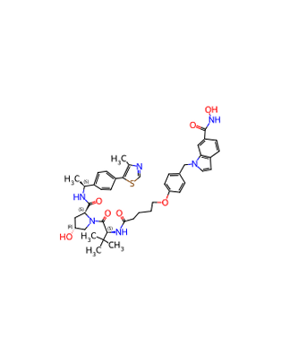 Cc1ncsc1-c1ccc([C@H](C)NC(=O)[C@@H]2C[C@@H](O)CN2C(=O)[C@@H](NC(=O)CCCCOc2ccc(Cn3ccc4ccc(C(=O)NO)cc43)cc2)C(C)(C)C)cc1